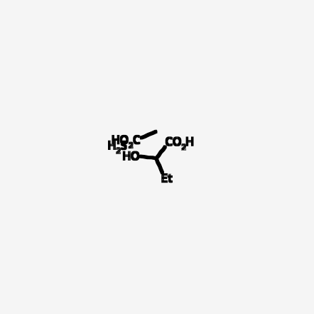 CC(=O)O.CCC(O)C(=O)O.S